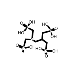 CP(=O)(O)CN(CC(CP(=O)(O)O)CP(=O)(O)O)CP(=O)(O)O